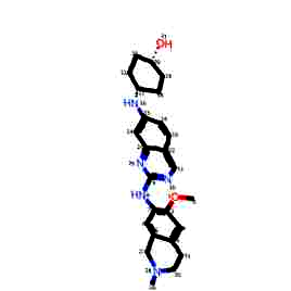 COc1cc2c(cc1Nc1ncc3ccc(N[C@H]4CC[C@@H](O)CC4)cc3n1)CN(C)CC2